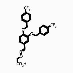 O=C(O)CON=Cc1ccc(OCc2ccc(C(F)(F)F)cc2)c(OCc2ccc(C(F)(F)F)cc2)c1